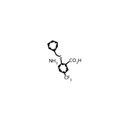 N.O=C(O)c1cc(C(F)(F)F)ccc1SCc1ccccc1